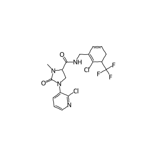 CN1C(=O)N(c2cccnc2Cl)CC1C(=O)NCC1=C(Cl)C(C(F)(F)F)CC=C1